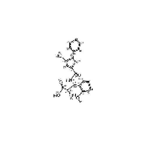 COc1ccccc1[C@@H](NC(=O)c1cc(O)n(-c2ccccc2)n1)[C@@H](O)C(=O)O